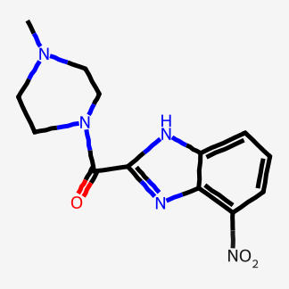 CN1CCN(C(=O)c2nc3c([N+](=O)[O-])cccc3[nH]2)CC1